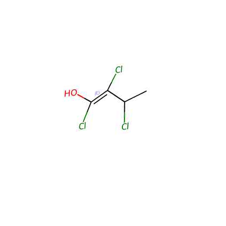 CC(Cl)/C(Cl)=C(/O)Cl